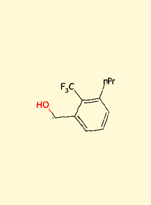 CCCc1cccc([CH]O)c1C(F)(F)F